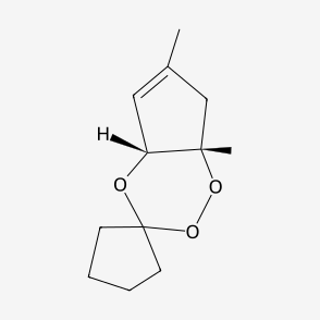 CC1=C[C@H]2OC3(CCCC3)OO[C@@]2(C)C1